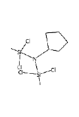 C[Si](Cl)(Cl)N(C1CCCC1)[Si](C)(Cl)Cl